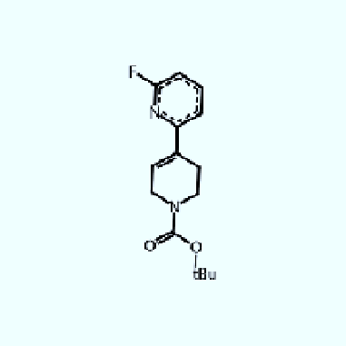 CC(C)(C)OC(=O)N1CC=C(c2cccc(F)n2)CC1